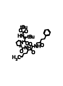 C=CCCC(NC(=O)[C@@H]1CCCN1C(=O)[C@@H](NC(=O)OC(C)(C)C)C(C)(C)C)C(=O)C(=O)NCC(=O)CCc1ccccc1